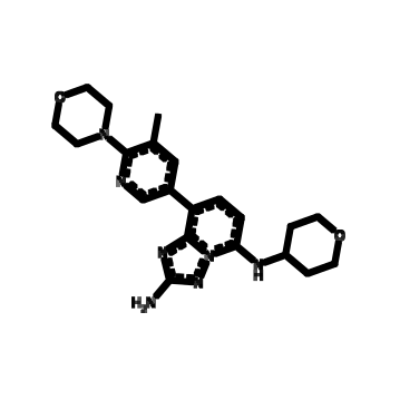 Cc1cc(-c2ccc(NC3CCOCC3)n3nc(N)nc23)cnc1N1CCOCC1